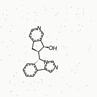 O[C@@H]1c2cnccc2C[C@@H]1[C@H]1c2ccccc2-c2cncn21